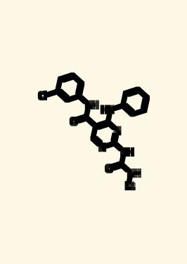 CCNC(=O)Nc1ncc(C(=O)Nc2cccc(Cl)c2)c(Nc2ccccc2)n1